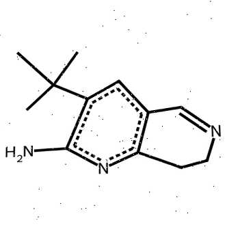 CC(C)(C)c1cc2c(nc1N)CCN=C2